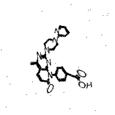 Cc1nc(N2CCN(c3ccccn3)CC2)nc2c1ccc(=O)n2-c1ccc(C(=O)O)cc1